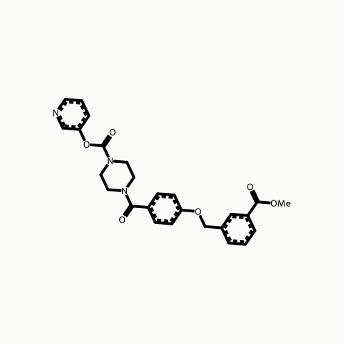 COC(=O)c1cccc(COc2ccc(C(=O)N3CCN(C(=O)Oc4cccnc4)CC3)cc2)c1